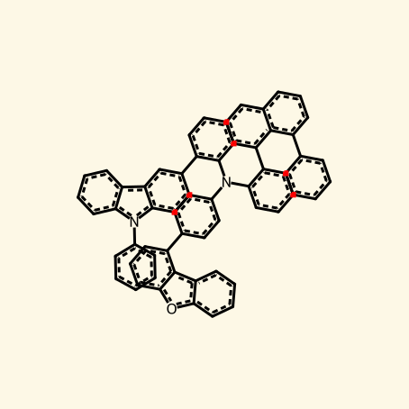 c1ccc(-c2cccc3cccc(-c4ccccc4N(c4ccc(-c5cccc6oc7ccccc7c56)cc4)c4ccccc4-c4ccc5c(c4)c4ccccc4n5-c4ccccc4)c23)cc1